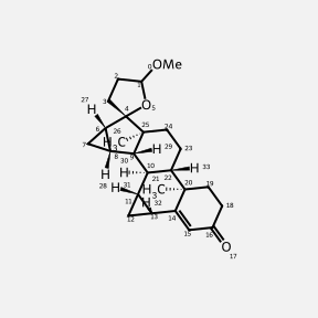 COC1CC[C@]2(O1)[C@H]1C[C@H]1[C@H]1[C@@H]3[C@H]4C[C@H]4C4=CC(=O)CC[C@]4(C)[C@H]3CC[C@@]12C